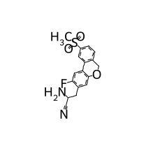 CS(=O)(=O)c1ccc2c(c1)-c1cc(F)c(CC(N)C#N)cc1OC2